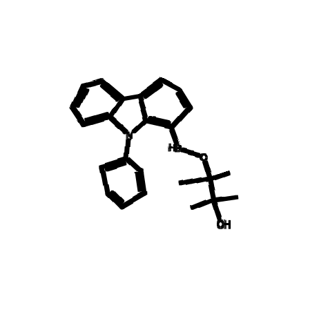 CC(C)(O)C(C)(C)OBc1cccc2c3ccccc3n(-c3ccccc3)c12